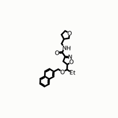 CCC(OCc1ccc2ccccc2c1)C1CC(C(=O)NCC2CCOC2)=NO1